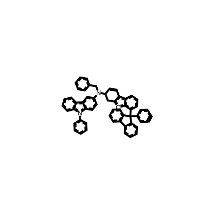 c1ccc(C2(c3cccc4c5c(oc34)CC(N(Cc3ccccc3)c3ccc4c(c3)c3ccccc3n4-c3ccccc3)C=C5)c3ccccc3-c3ccccc32)cc#1